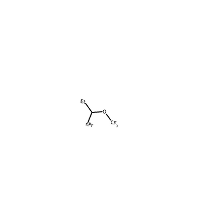 [CH2]CC(CCC)OC(F)(F)F